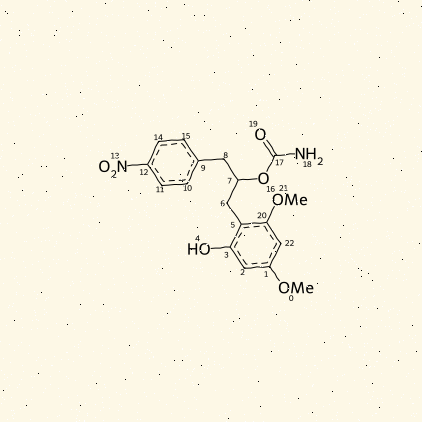 COc1cc(O)c(CC(Cc2ccc([N+](=O)[O-])cc2)OC(N)=O)c(OC)c1